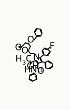 CC(C)c1c(C(=O)Nc2ccccc2)c(-c2ccccc2)c(-c2ccc(F)cc2)n1CCC1CC(OCc2ccccc2)CC(=O)O1